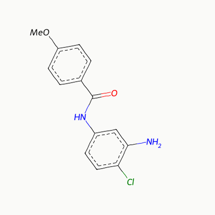 COc1ccc(C(=O)Nc2ccc(Cl)c(N)c2)cc1